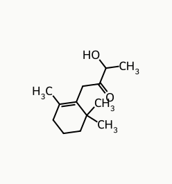 CC1=C(CC(=O)C(C)O)C(C)(C)CCC1